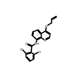 C=CCOc1ccnc2c(NC(=O)c3c(Cl)cccc3Cl)cccc12